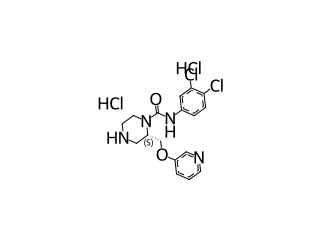 Cl.Cl.O=C(Nc1ccc(Cl)c(Cl)c1)N1CCNC[C@H]1COc1cccnc1